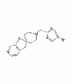 Brc1cnc(CN2CCC3(CC2)Cc2ccncc2O3)nc1